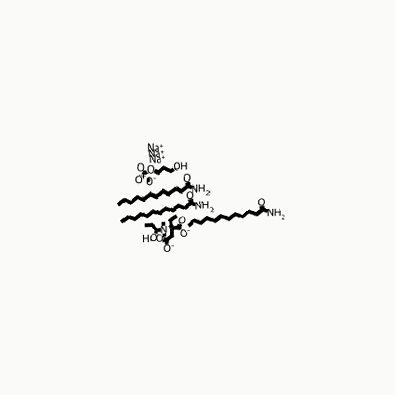 CCC(O)[N+](C)(C)C(CC)(CC(=O)[O-])C(=O)[O-].CCCCCCCCCCCC(N)=O.CCCCCCCCCCCC(N)=O.CCCCCCCCCCCC(N)=O.O=P([O-])([O-])OCCCO.[Na+].[Na+].[Na+]